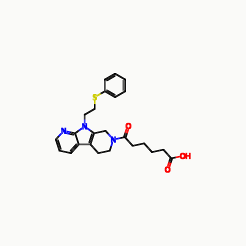 O=C(O)CCCCC(=O)N1CCc2c(n(CCSc3ccccc3)c3ncccc23)C1